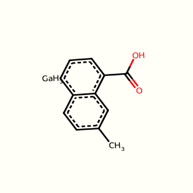 Cc1ccc2cccc(C(=O)O)c2c1.[GaH3]